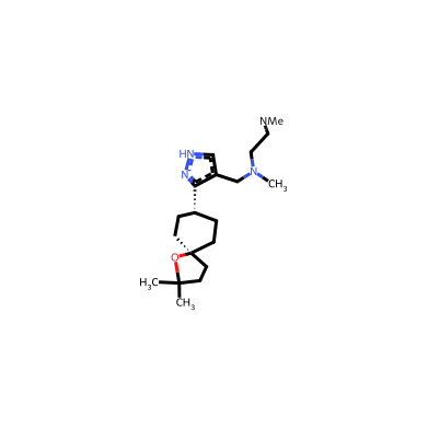 CNCCN(C)Cc1c[nH]nc1[C@H]1CC[C@@]2(CCC(C)(C)O2)CC1